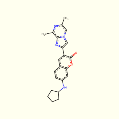 Cc1cn2cc(-c3cc4ccc(NC5CCCC5)cc4oc3=O)nc2c(C)n1